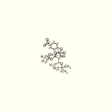 CC(OC(C)(C)C)C(NS(=O)(=O)Oc1ccc([N+](=O)[O-])cc1)C(=O)OC(C)(C)C